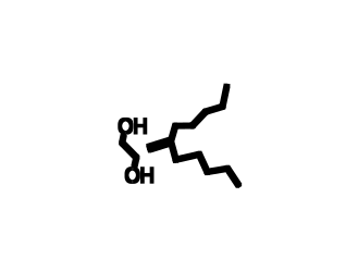 C=C(CCCCC)CCCCC.OCCO